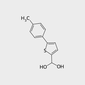 Cc1ccc(-c2ccc(C(O)O)s2)cc1